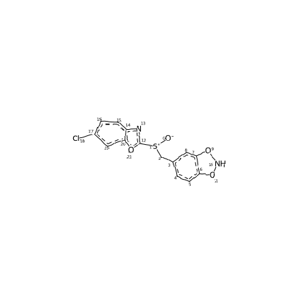 [O-][S+](Cc1ccc2c(c1)ONO2)c1nc2ccc(Cl)cc2o1